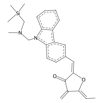 C=C1C(=O)/C(=C\c2ccc3c(c2)c2ccccc2n3CN(C)C[Si](C)(C)C)O/C1=C\C